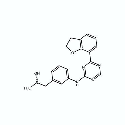 C[SH](O)Cc1cccc(Nc2ncnc(-c3cccc4c3OCC4)n2)c1